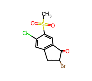 CS(=O)(=O)c1cc2c(cc1Cl)CC(Br)C2=O